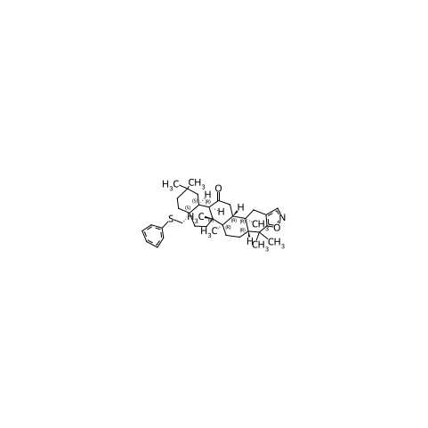 CC1(C)CC[C@]2(CSc3ccccc3)CC[C@]3(C)[C@H](C(=O)C[C@@H]4[C@@]5(C)Cc6cnoc6C(C)(C)[C@@H]5CC[C@]43C)[C@@H]2C1